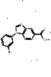 CNC(=O)c1ccc2c(c1)ncn2-c1cccc(Br)c1